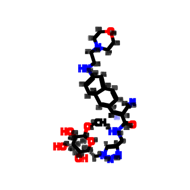 CO[C@H]1O[C@H](Cn2cc(CNC(=O)/C(C#N)=C/c3ccc4cc(NCCN5CCOCC5)ccc4c3)nn2)[C@@H](O)[C@H](O)[C@H]1O